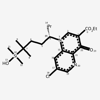 CCOC(=O)c1cn([C@H](CCC(C)(C)[Si](C)(C)O)C(C)C)c2cc(Cl)cnc2c1=O